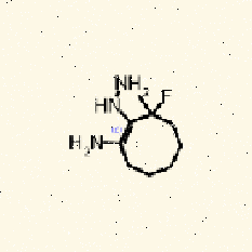 CC1(F)CCCCC/C(N)=C\1NN